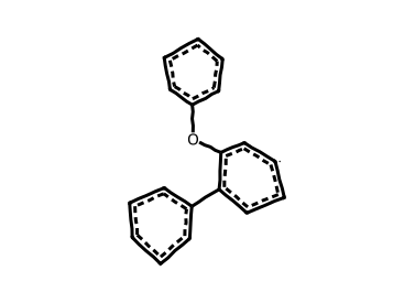 [c]1ccc(-c2ccccc2)c(Oc2ccccc2)c1